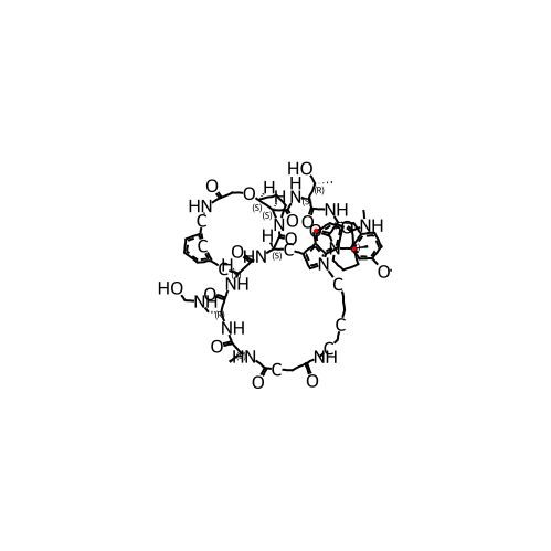 CNC(=O)[C@]1(C)CCCN1C(=O)[C@H](Cc1ccc(OC)cc1)NC(=O)[C@@H](NC(=O)[C@@H]1[C@@H]2CCN1C(=O)[C@@H]1Cc3cn(c4ccccc34)CCCCCCNC(=O)CCC(=O)N[C@@H](C)C(=O)N[C@H](CNCO)C(=O)N[C@@H](Cc3cccc(c3)CNC(=O)CO2)C(=O)N1)[C@@H](C)O